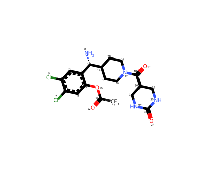 N[C@@H](c1cc(Cl)c(Cl)cc1OC(=O)C(F)(F)F)C1CCN(C(=O)C2CNC(=O)NC2)CC1